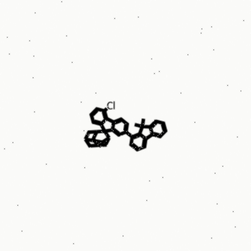 CC1(C)c2ccccc2-c2cccc(-c3ccc4c(c3)C3(c5cccc(Cl)c5-4)C4CC5CC(C4)CC3C5)c21